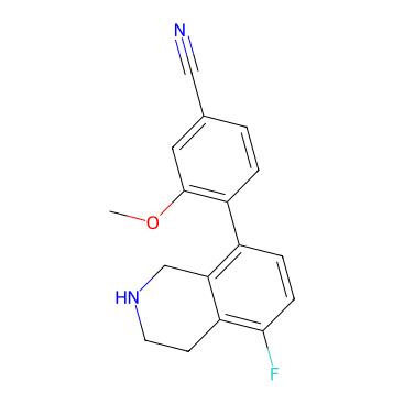 COc1cc(C#N)ccc1-c1ccc(F)c2c1CNCC2